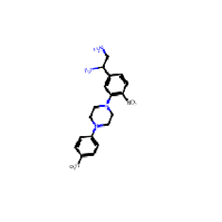 NCC(N)c1ccc([N+](=O)[O-])c(N2CCN(c3ccc([N+](=O)[O-])cc3)CC2)c1